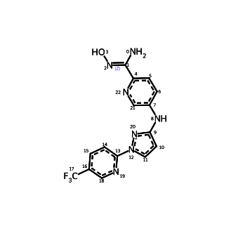 N/C(=N\O)c1ccc(Nc2ccn(-c3ccc(C(F)(F)F)cn3)n2)cn1